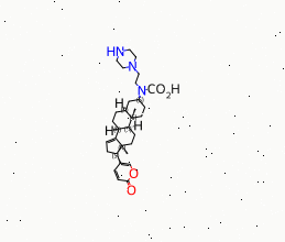 C[C@]12CC[C@H](N(CCN3CCNCC3)C(=O)O)C[C@H]1CC[C@H]1C3=CC[C@H](c4ccc(=O)oc4)[C@@]3(C)CC[C@@H]12